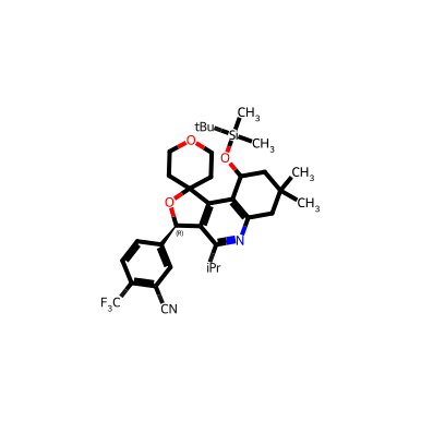 CC(C)c1nc2c(c3c1[C@@H](c1ccc(C(F)(F)F)c(C#N)c1)OC31CCOCC1)C(O[Si](C)(C)C(C)(C)C)CC(C)(C)C2